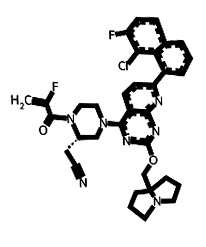 C=C(F)C(=O)N1CCN(c2nc(OCC34CCCN3CCC4)nc3nc(-c4cccc5ccc(F)c(Cl)c45)ccc23)C[C@@H]1CC#N